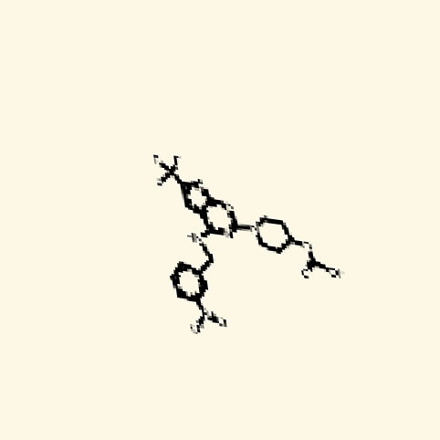 O=C(O)OC1CCN(c2nc(NCc3cccc([N+](=O)[O-])c3)c3cc(C(F)(F)F)sc3n2)CC1